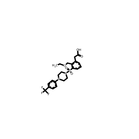 CCOCc1c(CC(=O)O)cccc1S(=O)(=O)N1CCN(c2ccc(C(F)(F)F)cc2)CC1